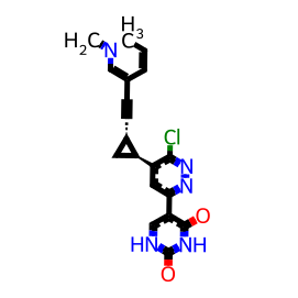 C=N/C=C(C#C[C@H]1C[C@@H]1c1cc(-c2c[nH]c(=O)[nH]c2=O)nnc1Cl)\C=C/C